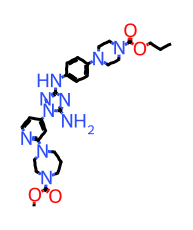 CCCOC(=O)N1CCN(c2ccc(Nc3nc(N)n(-c4ccnc(N5CCCN(C(=O)OC)CC5)c4)n3)cc2)CC1